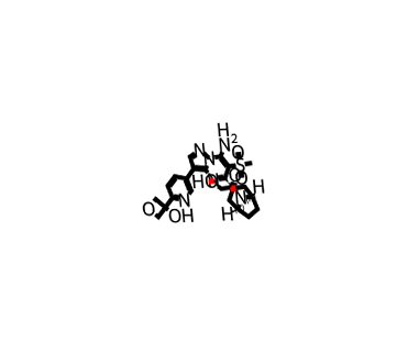 CS(=O)(=O)c1c([C@@H]2C[C@H]3CC[C@@H](C2)N3C(=O)CO)nc2c(-c3ccc(C4(O)COC4)nc3)cnn2c1N